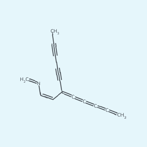 C=C=C=C=C=C(C#CC#CC)/C=C\N=C